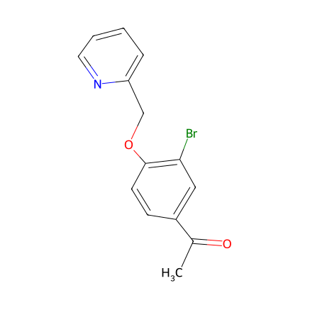 CC(=O)c1ccc(OCc2ccccn2)c(Br)c1